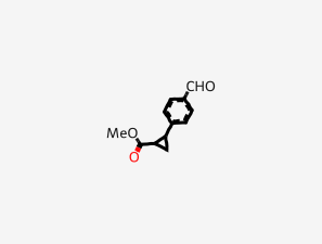 COC(=O)C1CC1c1ccc(C=O)cc1